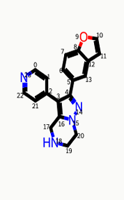 c1cc(-c2c(-c3ccc4occc4c3)nn3c2CNCC3)ccn1